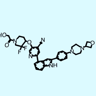 N#Cc1cc(-c2cccc3[nH]c(-c4ccc(N5CCN(C6COC6)CC5)cc4)cc23)ncc1OC1CCN(C(=O)CO)CC1(F)F